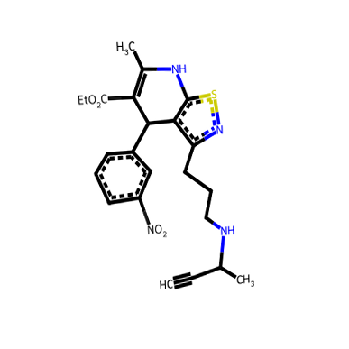 C#CC(C)NCCCc1nsc2c1C(c1cccc([N+](=O)[O-])c1)C(C(=O)OCC)=C(C)N2